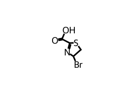 O=C(O)C1=NC(Br)CS1